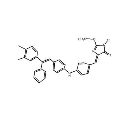 CCN1C(=O)/C(=C/c2ccc(Nc3ccc(/C=C(\c4ccccc4)c4ccc(C)c(C)c4)cc3)cc2)N=C1OS(=O)(=O)O